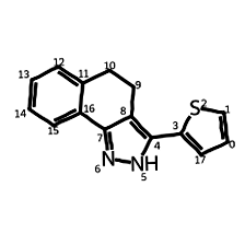 c1csc(-c2[nH]nc3c2CCc2ccccc2-3)c1